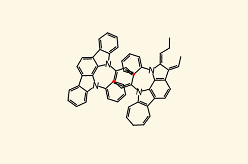 C/C=c1\c(=C/CC)n(-c2ccccc2)c2c1ccc1c3c(n(-c4ccc(-n5c6ccccc6c6ccc7c8ccccc8n(-c8ccccc8)c7c65)cc4)c12)C=CCC=C3